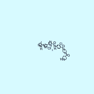 Cc1cn[nH]c1-n1cc(-c2cnc(C(=O)Nc3ccc(C(=O)N4CCN(C(=O)C5CCNCC5)CC4)c(Cl)c3)n2C)c(C(F)(F)F)n1